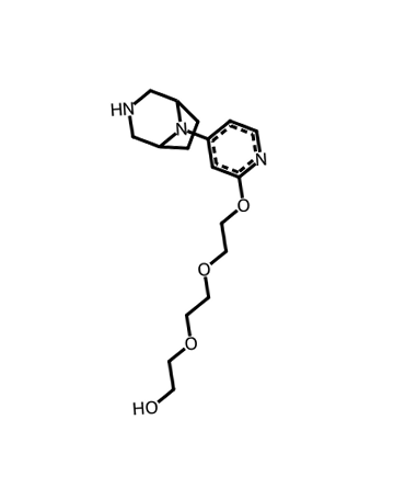 OCCOCCOCCOc1cc(N2C3CCC2CNC3)ccn1